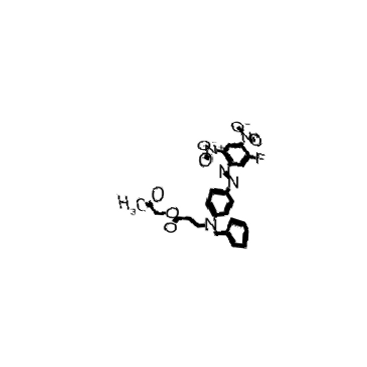 CC(=O)COC(=O)CCN(Cc1ccccc1)c1ccc(/N=N/c2cc(F)c([N+](=O)[O-])cc2[N+](=O)[O-])cc1